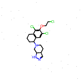 ClCCOc1c(Cl)cc2c(c1Cl)CCCC2N1CCC2C=NNC2C1